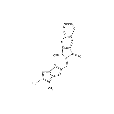 Cc1cc2oc(C=C3C(=O)c4cc5ccccc5cc4C3=O)cc2n1C